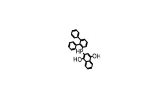 Oc1cc(Pc2cccc(-c3ccccc3)c2-c2ccccc2)c(O)c2ccccc12